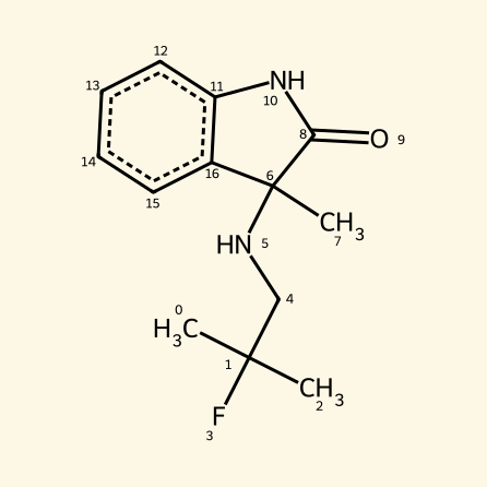 CC(C)(F)CNC1(C)C(=O)Nc2ccccc21